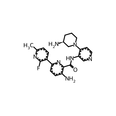 Cc1ccc(-c2ccc(N)c(C(=O)Nc3cnccc3N3CCC[C@H](N)C3)n2)c(F)n1